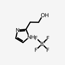 F[B-](F)(F)F.OCCc1ncc[nH]1